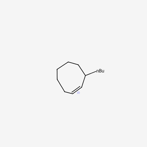 [CH2]CCCC1/C=C\CCCCC1